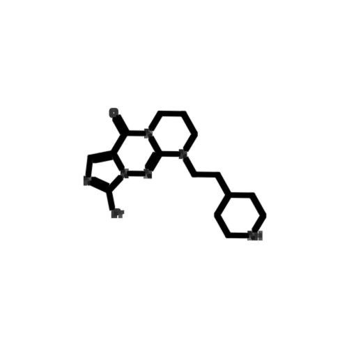 CC(C)c1ncc2c(=O)n3c(nn12)N(CCC1CCNCC1)CCC3